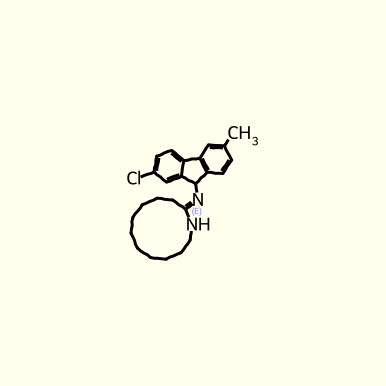 Cc1ccc2c(c1)-c1ccc(Cl)cc1C2/N=C1\CCCCCCCCCCN1